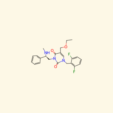 CCOCc1cn(Cc2c(F)cccc2F)c(=O)n(C[C@H](NC)c2ccccc2)c1=O